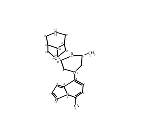 C[C@@H]1CN(c2ccc(C#N)n3nccc23)C[C@H](CN2C3CNCC2COC3)O1